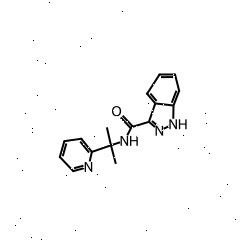 CC(C)(NC(=O)c1n[nH]c2ccccc12)c1ccccn1